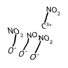 O=[N+]([O-])[O-].O=[N+]([O-])[O-].O=[N+]([O-])[O-].[C+3][N+](=O)[O-]